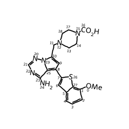 COc1cccc2cc(-c3cc(CN4CCN(C(=O)O)CC4)n4ncnc(N)c34)sc12